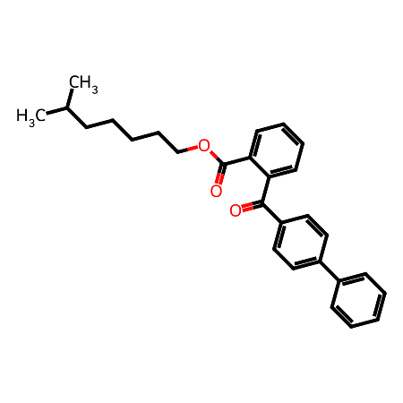 CC(C)CCCCCOC(=O)c1ccccc1C(=O)c1ccc(-c2ccccc2)cc1